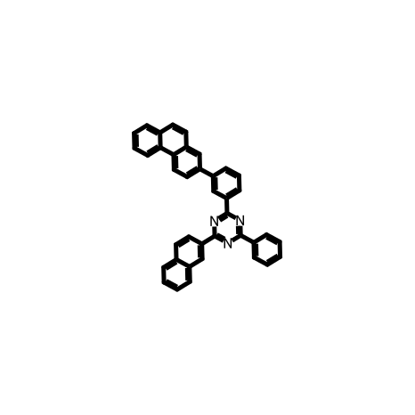 c1ccc(-c2nc(-c3cccc(-c4ccc5c(ccc6ccccc65)c4)c3)nc(-c3ccc4ccccc4c3)n2)cc1